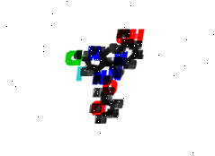 Cc1nc(Cl)c(F)c2nc(OC=C3CCCO3)nc(N3CCCC(O)C3)c12